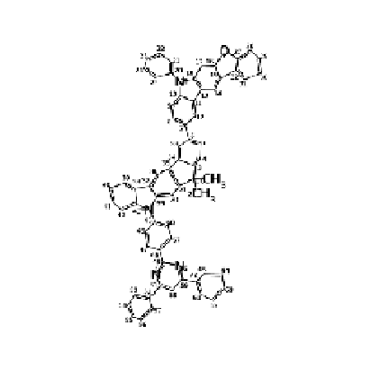 CC1(C)c2ccc(-c3ccc4c(c3)c3cc5c(cc3n4-c3ccccc3)oc3ccccc35)cc2-c2cc3c4ccccc4n(-c4ccc(-c5nc(-c6ccccc6)cc(-c6ccccc6)n5)cc4)c3cc21